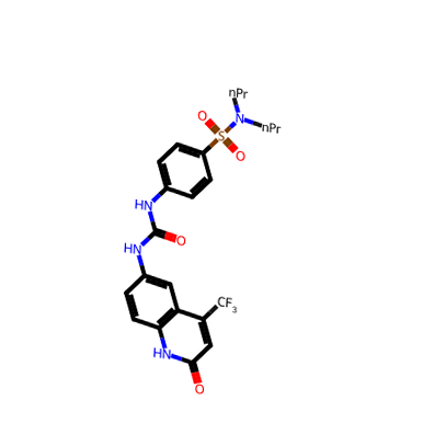 CCCN(CCC)S(=O)(=O)c1ccc(NC(=O)Nc2ccc3[nH]c(=O)cc(C(F)(F)F)c3c2)cc1